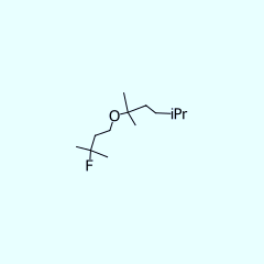 CC(C)CCC(C)(C)OCCC(C)(C)F